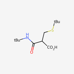 CC(C)(C)NC(=O)C(CSC(C)(C)C)C(=O)O